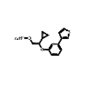 CC(=O)NOCC(Oc1cccc(-c2ccsc2)c1)C1CC1